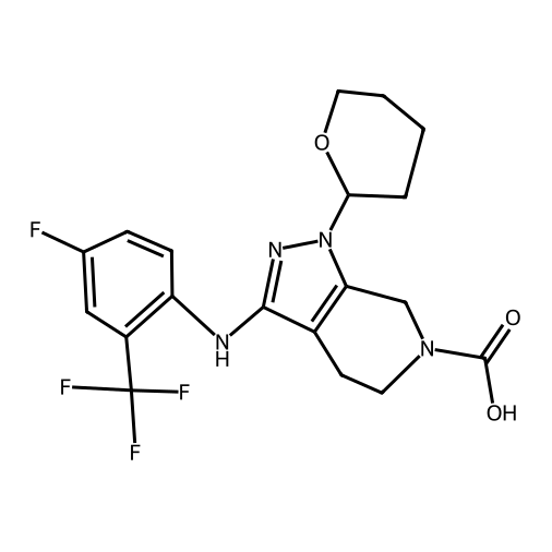 O=C(O)N1CCc2c(Nc3ccc(F)cc3C(F)(F)F)nn(C3CCCCO3)c2C1